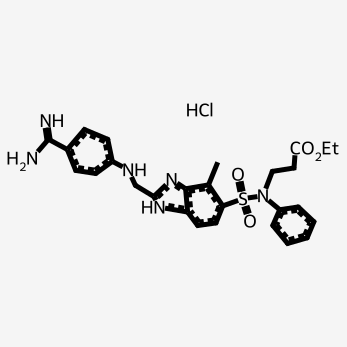 CCOC(=O)CCN(c1ccccc1)S(=O)(=O)c1ccc2[nH]c(CNc3ccc(C(=N)N)cc3)nc2c1C.Cl